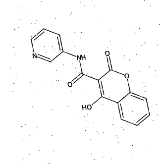 O=C(Nc1cccnc1)c1c(O)c2ccccc2oc1=O